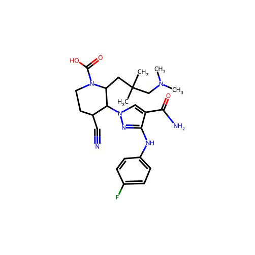 CN(C)CC(C)(C)CC1C(n2cc(C(N)=O)c(Nc3ccc(F)cc3)n2)C(C#N)CCN1C(=O)O